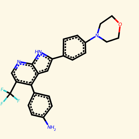 Nc1ccc(-c2c(C(F)(F)F)cnc3[nH]c(-c4ccc(N5CCOCC5)cc4)cc23)cc1